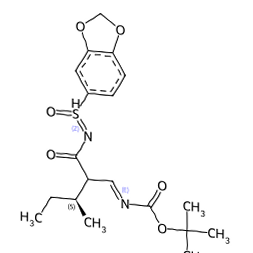 CC[C@H](C)C(/C=N/C(=O)OC(C)(C)C)C(=O)/N=[SH](=O)/c1ccc2c(c1)OCO2